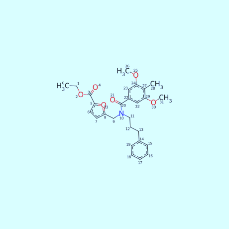 CCOC(=O)c1ccc(CN(CCCc2ccccc2)C(=O)c2cc(OC)c(C)c(OC)c2)o1